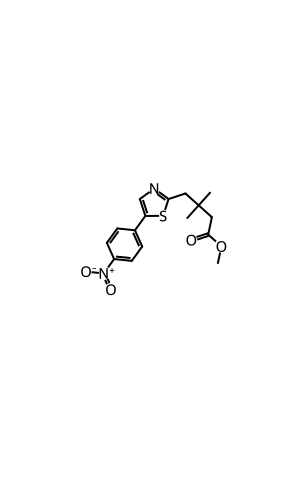 COC(=O)CC(C)(C)Cc1ncc(-c2ccc([N+](=O)[O-])cc2)s1